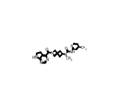 CN(C(=O)Nc1cc(C(F)(F)F)ccn1)C1CC2(C1)CN(C(=O)c1ncnc3[nH]ccc13)C2